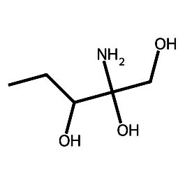 CCC(O)C(N)(O)CO